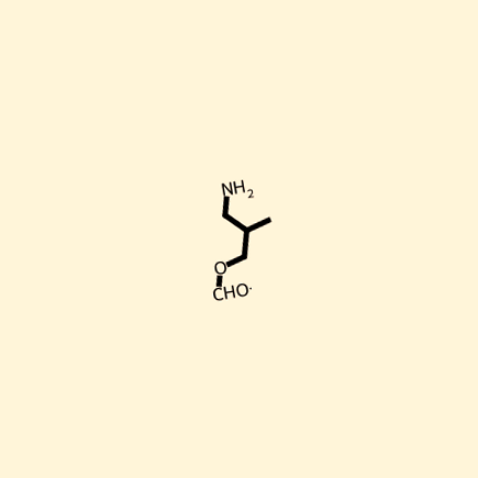 CC(CN)CO[C]=O